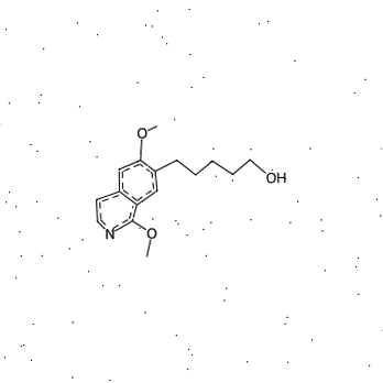 COc1cc2ccnc(OC)c2cc1CCCCCO